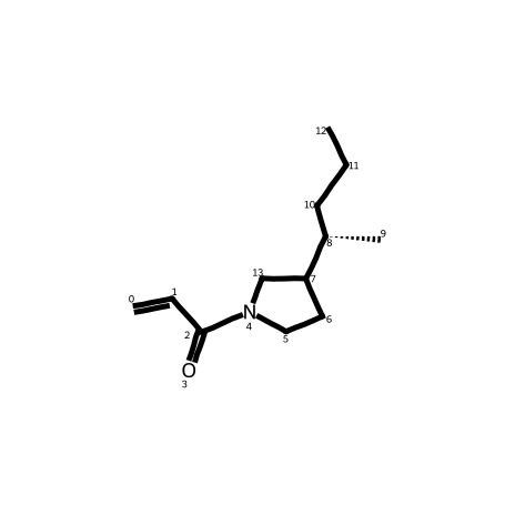 C=CC(=O)N1CCC([C@@H](C)CCC)C1